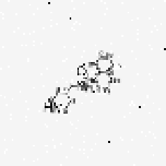 O=C(NCC1CCNCC1)c1cccc2ccccc12